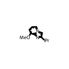 COc1cccn2cc(C(C)C)nc12